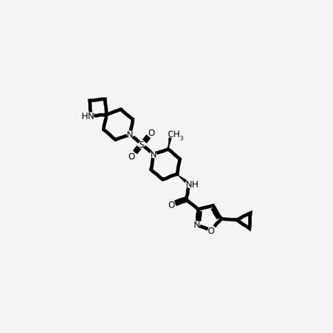 C[C@H]1C[C@@H](NC(=O)c2cc(C3CC3)on2)CCN1S(=O)(=O)N1CCC2(CCN2)CC1